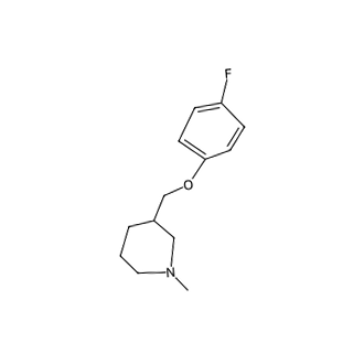 CN1CCCC(COc2ccc(F)cc2)C1